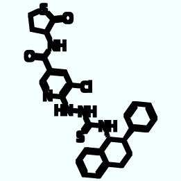 O=C(NC1CCSC1=O)c1cnc(NNC(=S)N[C@H]2c3ccccc3CC[C@@H]2c2ccccc2)c(Cl)c1